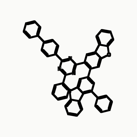 c1ccc(-c2ccc(-c3nc(-c4ccccc4)nc(-c4cc5c(cc4-c4cc(-c6ccccc6)c6c(c4)sc4ccccc46)oc4ccccc45)n3)cc2)cc1